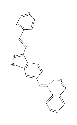 C1=NCC(=Cc2ccc3c(/C=C/c4ccncc4)n[nH]c3c2)c2ccccc21